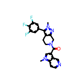 Cn1nc2c(c1-c1cc(F)c(F)c(F)c1)CCN(C(=O)c1cn(C)c3ccncc13)C2